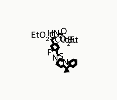 CCOC(=O)C(Cc1ccc(-c2nc3ccc(C4(c5ccccc5)CC4)nc3s2)c(F)c1)(NC(=O)OC(C)(C)C)C(=O)OCC